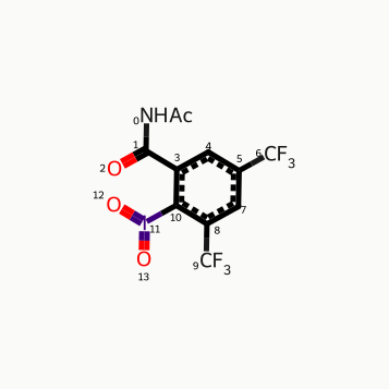 CC(=O)NC(=O)c1cc(C(F)(F)F)cc(C(F)(F)F)c1I(=O)=O